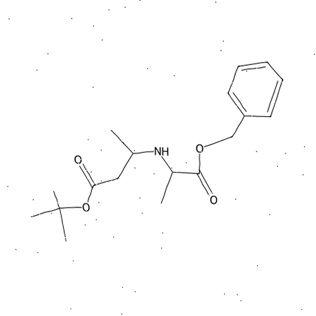 CC(CC(=O)OC(C)(C)C)NC(C)C(=O)OCc1ccccc1